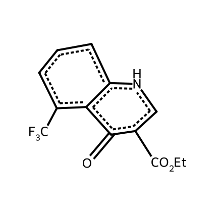 CCOC(=O)c1c[nH]c2cccc(C(F)(F)F)c2c1=O